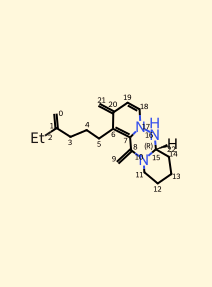 C=C(CC)CCCC1=C2C(=C)N3CCCC[C@H]3NN2C=CC1=C